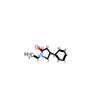 C=CN1CC(c2ccccc2)CC1=O